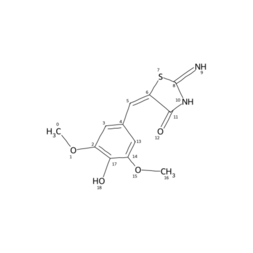 COc1cc(/C=C2/SC(=N)NC2=O)cc(OC)c1O